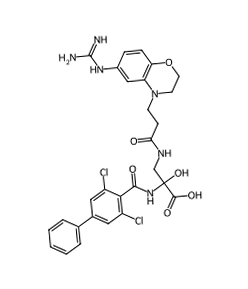 N=C(N)Nc1ccc2c(c1)N(CCC(=O)NCC(O)(NC(=O)c1c(Cl)cc(-c3ccccc3)cc1Cl)C(=O)O)CCO2